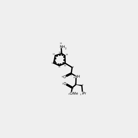 COC(=O)[C@H](CC(C)C)NC(=O)Cc1cccc(N)c1